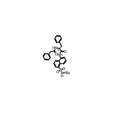 CC(C)(C)NS(=O)(=O)c1cccc2c(NC(=O)[C@H](Cc3ccccc3)NC(=O)Cc3ccccc3)cccc12